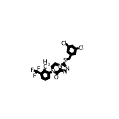 Cc1c(-n2ccn3c(SCc4cc(Cl)cc(Cl)c4)nnc3c2=O)cccc1C(F)(F)F